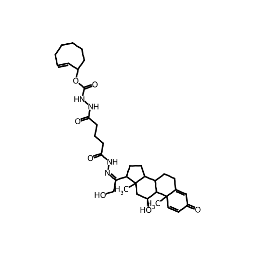 CC12C=CC(=O)C=C1CCC1C2C(O)CC2(C)C(/C(CO)=N\NC(=O)CCCC(=O)NNC(=O)OC3/C=C/CCCCC3)CCC12